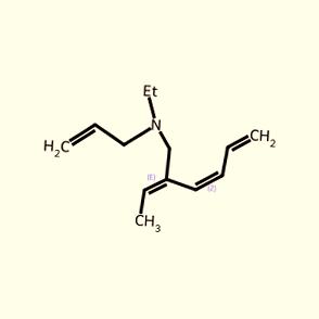 C=C/C=C\C(=C/C)CN(CC)CC=C